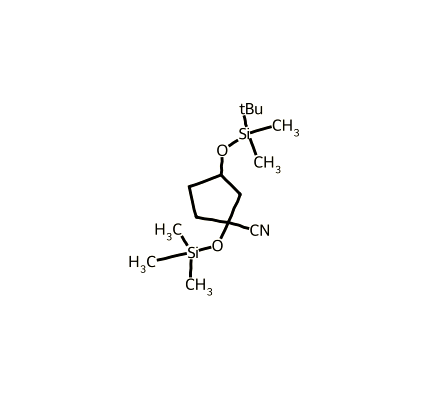 CC(C)(C)[Si](C)(C)OC1CCC(C#N)(O[Si](C)(C)C)C1